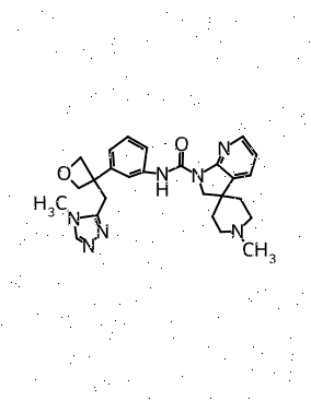 CN1CCC2(CC1)CN(C(=O)Nc1cccc(C3(Cc4nncn4C)COC3)c1)c1ncccc12